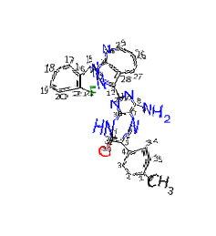 Cc1ccc(-c2nc3c(N)nc(-c4nn(Cc5ccccc5F)c5ncccc45)nc3[nH]c2=O)cc1